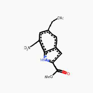 COC(=O)c1cc2cc(COC(C)=O)cc([N+](=O)[O-])c2[nH]1